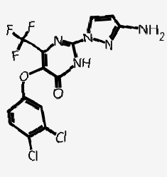 Nc1ccn(-c2nc(C(F)(F)F)c(Oc3ccc(Cl)c(Cl)c3)c(=O)[nH]2)n1